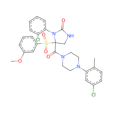 COc1cccc(S(=O)(=O)C2(C(=O)N3CCN(c4cc(Cl)ccc4C)CC3)CNC(=O)N2c2ccccc2Cl)c1